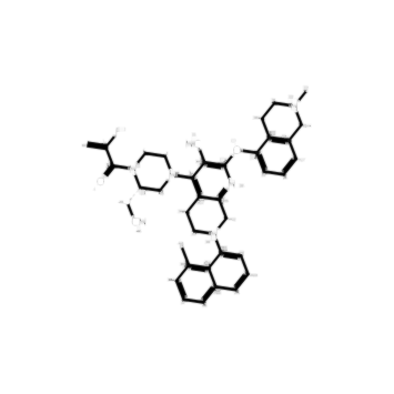 C=C(F)C(=O)N1CCN(c2c(C#N)c(Oc3cccc4c3CCN(C)C4)nc3c2CCN(c2cccc4cccc(C)c24)C3)C[C@@H]1CC#N